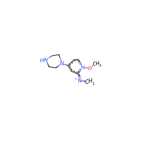 C/N=c1/cc(N2CCNCC2)ccn1OC